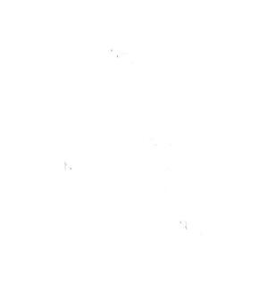 NCc1cccc([Si]([C]2c3ccccc3-c3ccccc32)(c2cccc(CN)c2)c2cccc(CN)c2)c1